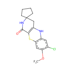 O=C1NC2(CCCC2)CC2=C1Sc1cc(OC(F)(F)F)c(Cl)cc1N2